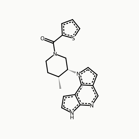 C[C@@H]1CCN(C(=O)c2cccs2)C[C@@H]1n1ccc2cnc3[nH]ccc3c21